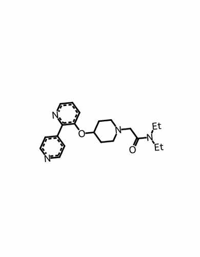 CCN(CC)C(=O)CN1CCC(Oc2cccnc2-c2ccncc2)CC1